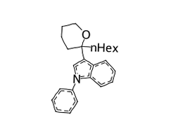 CCCCCCC1(c2cn(-c3ccccc3)c3ccccc23)CCCCO1